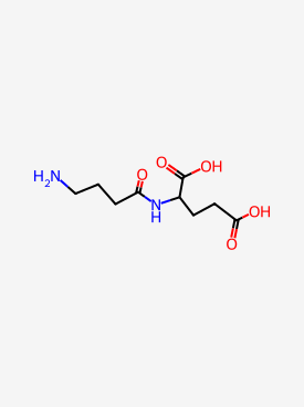 NCCCC(=O)NC(CCC(=O)O)C(=O)O